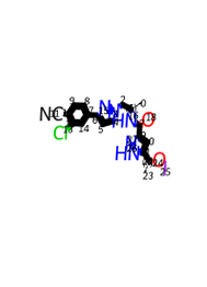 C[C@@H](Cn1ccc(-c2ccc(C#N)c(Cl)c2)n1)NC(=O)c1cc([C@@H](C)OI)[nH]n1